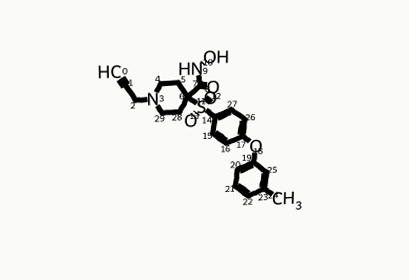 C#CCN1CCC(C(=O)NO)(S(=O)(=O)c2ccc(Oc3cccc(C)c3)cc2)CC1